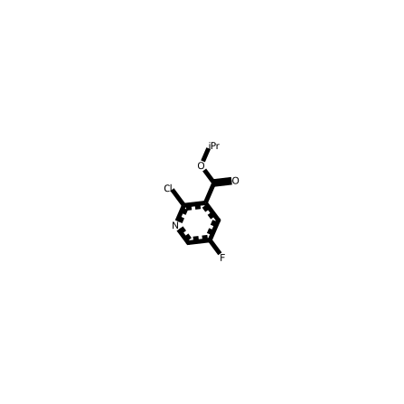 CC(C)OC(=O)c1cc(F)cnc1Cl